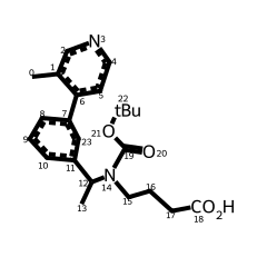 Cc1cnccc1-c1cccc(C(C)N(CCCC(=O)O)C(=O)OC(C)(C)C)c1